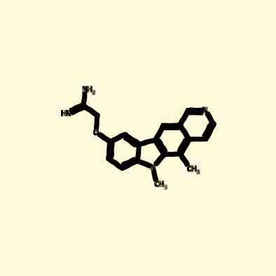 Cc1c2ccncc2cc2c3cc(OCC(=N)N)ccc3n(C)c12